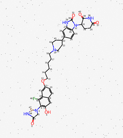 O=C1CN(c2c(O)cc3ccc(OCCCCCCN4CCC(c5ccc6c(c5)[nH]c(=O)n6C5CCC(=O)NC5=O)CC4)cc3c2F)SN1